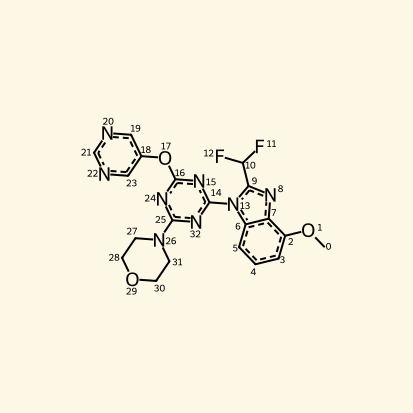 COc1cccc2c1nc(C(F)F)n2-c1nc(Oc2cncnc2)nc(N2CCOCC2)n1